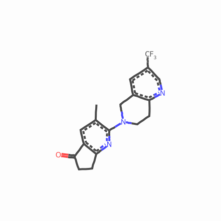 Cc1cc2c(nc1N1CCc3ncc(C(F)(F)F)cc3C1)CCC2=O